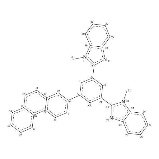 Cn1c(-c2cc(-c3ccc4c(ccc5ccccc54)c3)cc(-c3nc4ccccc4n3C)c2)nc2ccccc21